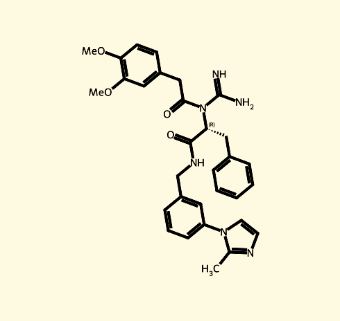 COc1ccc(CC(=O)N(C(=N)N)[C@H](Cc2ccccc2)C(=O)NCc2cccc(-n3ccnc3C)c2)cc1OC